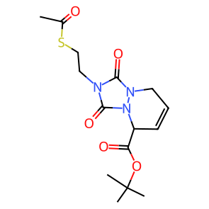 CC(=O)SCCn1c(=O)n2n(c1=O)C(C(=O)OC(C)(C)C)C=CC2